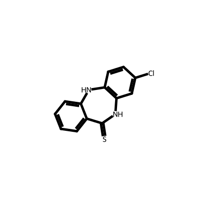 S=C1Nc2cc(Cl)ccc2Nc2ccccc21